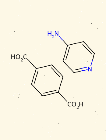 Nc1ccncc1.O=C(O)c1ccc(C(=O)O)cc1